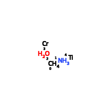 C.N.O.[Cr].[Ti]